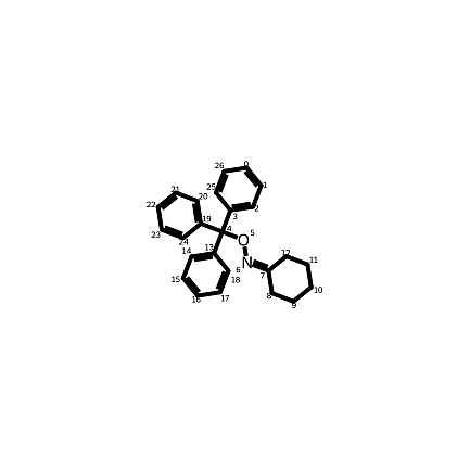 c1ccc(C(ON=C2CCCCC2)(c2ccccc2)c2ccccc2)cc1